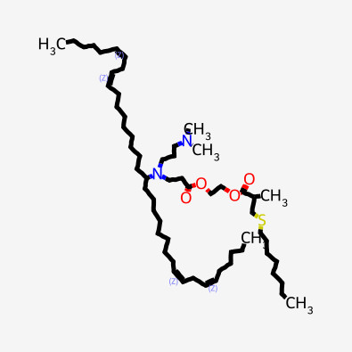 CCCCC/C=C\C/C=C\CCCCCCCCC(CCCCCCCC/C=C\C/C=C\CCCCC)N(CCCN(C)C)CCC(=O)OCCOC(=O)C(C)CSCCCCCCCC